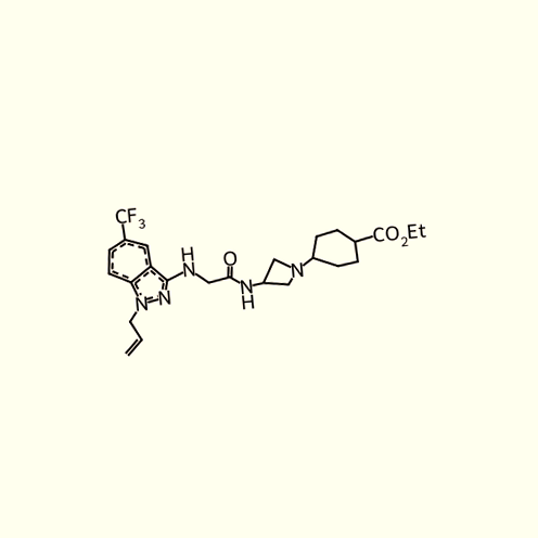 C=CCn1nc(NCC(=O)NC2CN(C3CCC(C(=O)OCC)CC3)C2)c2cc(C(F)(F)F)ccc21